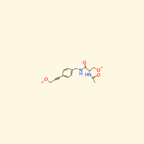 COCC#Cc1ccc(CNC(=O)C(COC)NC(C)=O)cc1